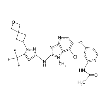 CC(=O)Nc1cc(Oc2cnc3nc(Nc4cc(C(F)(F)F)n(C5CC6(COC6)C5)n4)n(C)c3c2Cl)ccn1